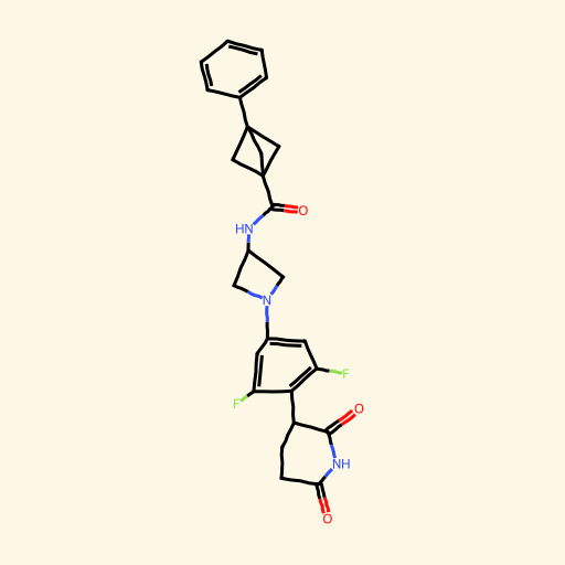 O=C1CCC(c2c(F)cc(N3CC(NC(=O)C45CC(c6ccccc6)(C4)C5)C3)cc2F)C(=O)N1